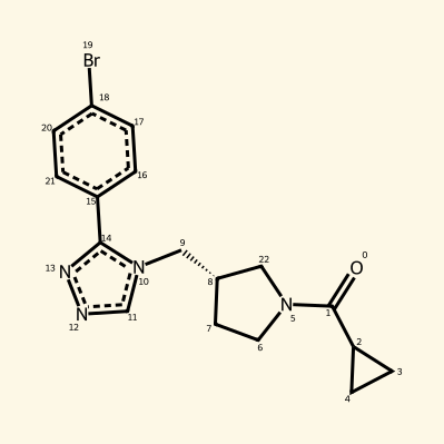 O=C(C1CC1)N1CC[C@H](Cn2cnnc2-c2ccc(Br)cc2)C1